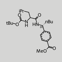 CCCC[C@@H](NC(=O)C(CC(C)C)NC(=O)OC(C)(C)C)c1ccc(C(=O)OC)cc1